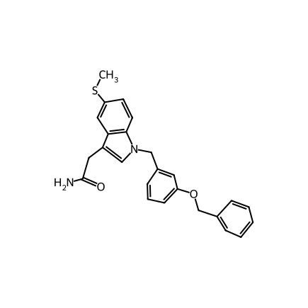 CSc1ccc2c(c1)c(CC(N)=O)cn2Cc1cccc(OCc2ccccc2)c1